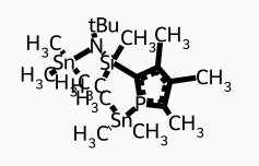 Cc1c(C)c([Si](C)(C)[N](C(C)(C)C)[Sn]([CH3])([CH3])[CH3])[p]([Sn]([CH3])([CH3])[CH3])c1C